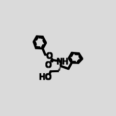 O=C(N[C@@H](CCO)Cc1ccccc1)OCc1ccccc1